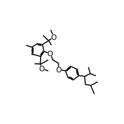 COC(C)(C)c1cc(C)cc(C(C)(C)OC)c1OCCOc1ccc(C(CC(C)C)C(C)C)cc1